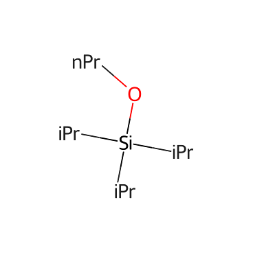 CCCO[Si](C(C)C)(C(C)C)C(C)C